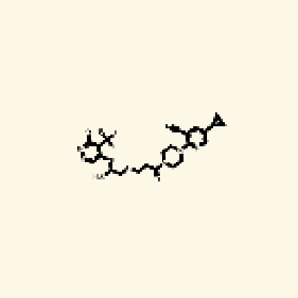 CC(COCCC(=O)N1CCN(c2ncc(C3CC3)cc2C#N)CC1)Nc1cn[nH]c(=O)c1C(F)(F)F